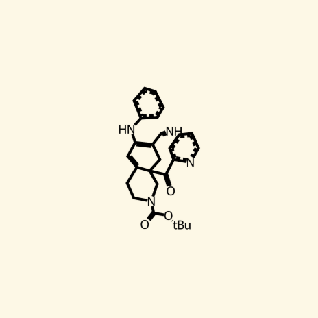 CC(C)(C)OC(=O)N1CCC2=CC(Nc3ccccc3)=C(C=N)CC2(C(=O)c2ccccn2)C1